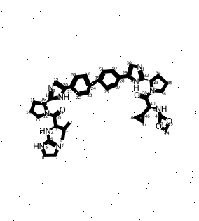 CC(C)[C@@H](NC1=NCCN1)C(=O)N1CCC[C@H]1c1ncc(-c2ccc(-c3ccc(-c4cnc([C@@H]5CCCN5C(=O)[C@@H](NC5OCO5)C5CC5)[nH]4)cc3)cc2)[nH]1